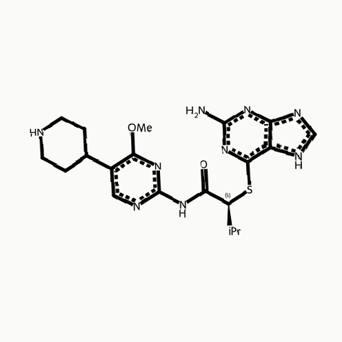 COc1nc(NC(=O)[C@@H](Sc2nc(N)nc3nc[nH]c23)C(C)C)ncc1C1CCNCC1